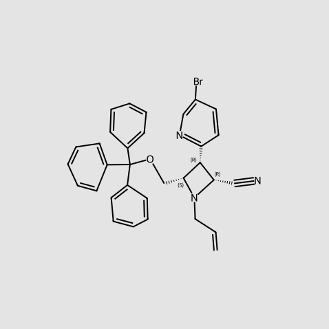 C=CCN1[C@H](COC(c2ccccc2)(c2ccccc2)c2ccccc2)[C@H](c2ccc(Br)cn2)[C@@H]1C#N